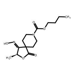 CCCCOC(=O)N1CCC2(CC1)C(=O)O[C@@H](C)C2=NO